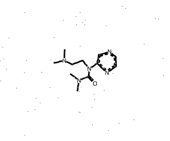 CN(C)CCN(C(=O)N(C)C)c1cnccn1